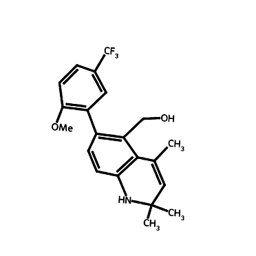 COc1ccc(C(F)(F)F)cc1-c1ccc2c(c1CO)C(C)=CC(C)(C)N2